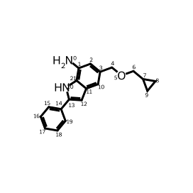 Nc1cc(COCC2CC2)cc2cc(-c3ccccc3)[nH]c12